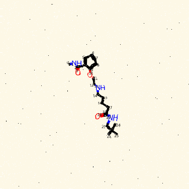 CNC(=O)c1ccccc1OCCNCCCCC(=O)NCC(C)(C)C